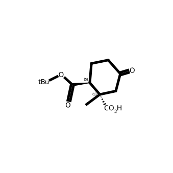 CC(C)(C)OC(=O)[C@H]1CCC(=O)C[C@]1(C)C(=O)O